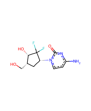 Nc1ccn([C@@H]2C[C@H](CO)[C@H](O)C2(F)F)c(=O)n1